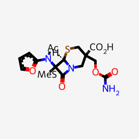 CSC1(N(C(C)=O)c2ccco2)C(=O)N2CC(COC(N)=O)(C(=O)O)CS[C@@H]21